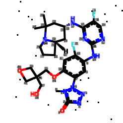 Cn1c(=O)nnn1-c1cc(Nc2ncc(F)c(N[C@@H]3C[C@@H]4CCCN4C(C)(C)C3)n2)c(F)cc1OCC1(CO)COC1